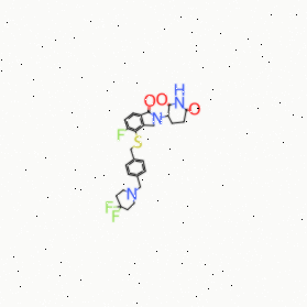 O=C1CCC(N2Cc3c(ccc(F)c3SCc3ccc(CN4CCC(F)(F)CC4)cc3)C2=O)C(=O)N1